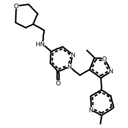 Cc1ccc(-c2noc(C)c2Cn2ncc(NCC3CCOCC3)cc2=O)cn1